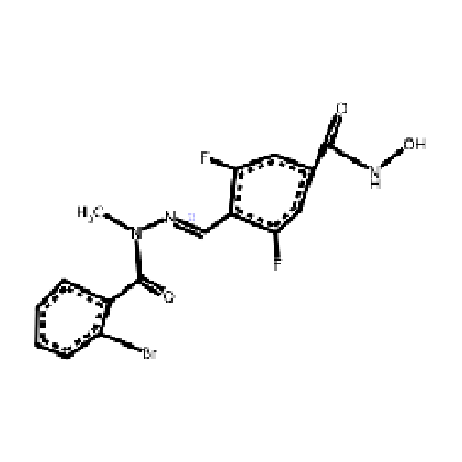 CN(/N=C/c1c(F)cc(C(=O)NO)cc1F)C(=O)c1ccccc1Br